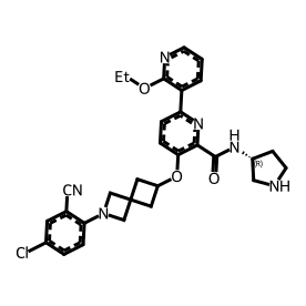 CCOc1ncccc1-c1ccc(OC2CC3(C2)CN(c2ccc(Cl)cc2C#N)C3)c(C(=O)N[C@@H]2CCNC2)n1